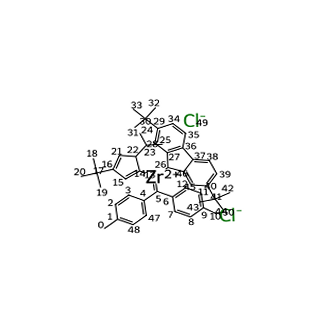 Cc1ccc([C](c2ccc(C)cc2)=[Zr+2]([C]2=CC(C(C)(C)C)=CC2C(C)C)[CH]2c3cc(C(C)(C)C)ccc3-c3ccc(C(C)(C)C)cc32)cc1.[Cl-].[Cl-]